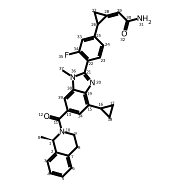 C[C@@H]1c2ccccc2CCN1C(=O)c1cc(C2CC2)c2nc(-c3ccc(C4C/C4=C/C(N)=O)cc3F)n(C)c2c1